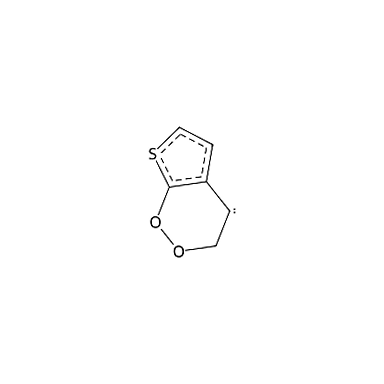 [C]1COOc2sccc21